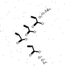 C=CC(=O)[O-].C=CC(=O)[O-].C=CC(=O)[O-].C=CC(=O)[O-].[O-2].[O-2].[O-2].[O-2].[Ti+4].[Ti+4].[Ti+4]